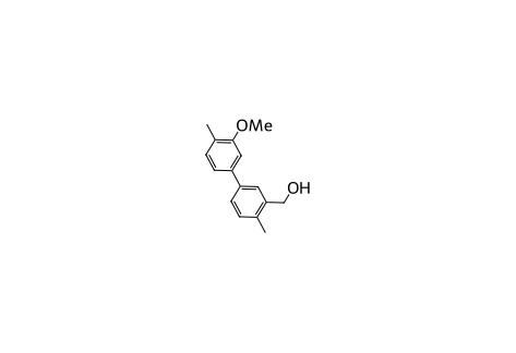 COc1cc(-c2ccc(C)c(CO)c2)ccc1C